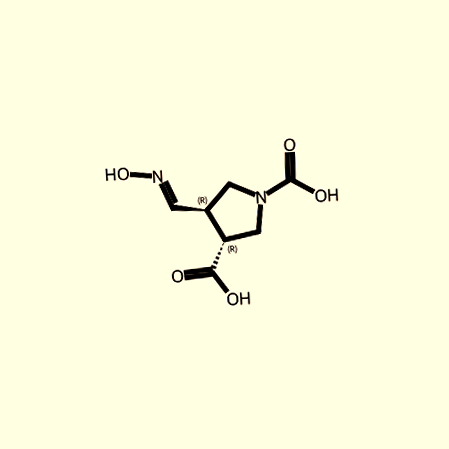 O=C(O)[C@H]1CN(C(=O)O)C[C@@H]1C=NO